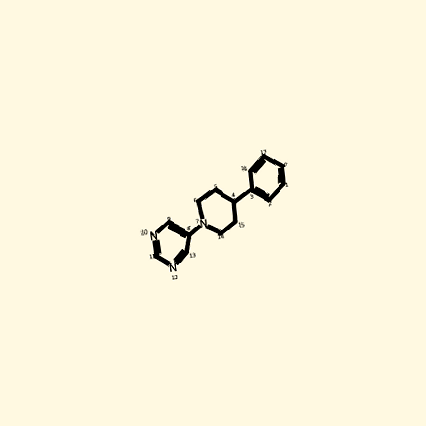 c1ccc(C2CCN(c3cncnc3)CC2)cc1